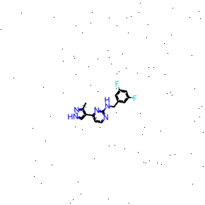 Cc1n[nH]cc1-c1ccnc(NCc2cc(F)cc(F)c2)n1